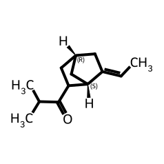 CC=C1C[C@H]2CC(C(=O)C(C)C)[C@@H]1C2